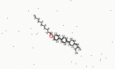 CCCCCCCCCCCOc1ccc(-c2ccc(C3CCC(CC(C)CC)CC3)cc2)cc1